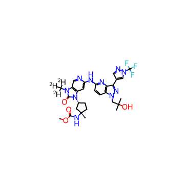 [2H]C([2H])([2H])n1c(=O)n([C@@H]2CC[C@](C)(NC(=O)OC)C2)c2cc(Nc3ccc4c(n3)c(-c3cnn(C(F)(F)F)c3)nn4CC(C)(C)O)ncc21